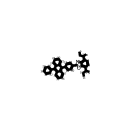 CCC(C)c1ccc(C(C)CC)c2oc(-c3ccc(-c4c5ccccc5c(-c5ccccc5)c5ccccc45)cc3)nc12